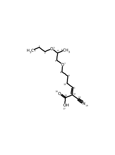 CCCOC(C)COCCCC=C(C#N)C(=O)O